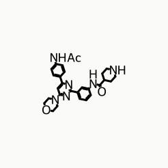 CC(=O)Nc1ccc(-c2cc(N3CCOCC3)nc(-c3cccc(NC(=O)C4CCNCC4)c3)n2)cc1